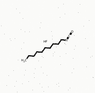 CCCCCCCCCCN=C=O.F